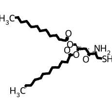 CCCCCCCCCCCC(=O)OC[C@@H]([CH]C(=O)[C@@H](N)CS)OC(=O)CCCCCCCCCCC